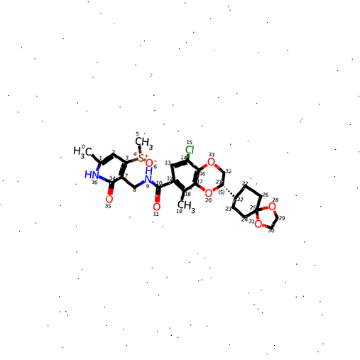 Cc1cc([S+](C)[O-])c(CNC(=O)c2cc(Cl)c3c(c2C)O[C@@H](C2CCC4(CC2)OCCO4)CO3)c(=O)[nH]1